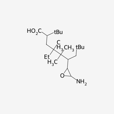 CCC(C)(CC(C(=O)O)C(C)(C)C)C(C)(C)C(CC(C)(C)C)C1OC1N